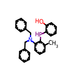 Cc1cccc(N(Cc2ccccc2)Cc2ccccc2)c1Pc1ccccc1O